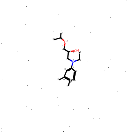 CCN(CC(O)COC(C)C)c1ccc(C)c(C)c1